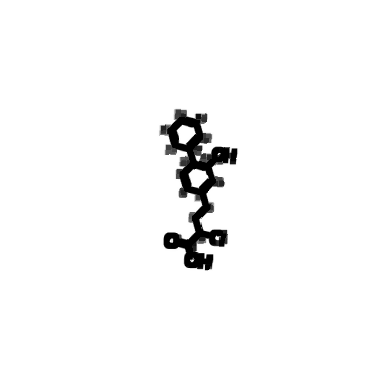 O=C(O)C(Cl)CCc1ccc(-c2ccccc2)c(O)c1